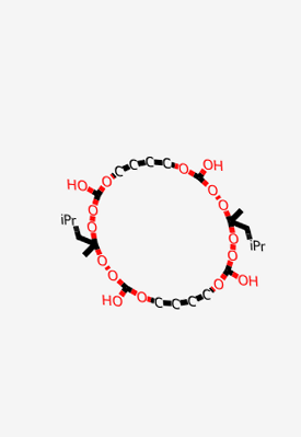 CC(C)CC1(C)OOC(O)OCCCCOC(O)OOC(C)(CC(C)C)OOC(O)OCCCCOC(O)OO1